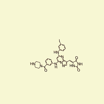 O=C1NC(=O)/C(=C/c2cnn3c(Nc4cccc(C(=O)N5CCNCC5)c4)cc(Nc4cccc(I)c4)nc23)N1